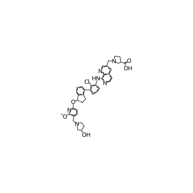 COc1nc(O[C@@H]2CCc3c(-c4cccc(Nc5nccc6cc(CN7CC[C@@H](C(=O)O)C7)cnc56)c4Cl)cccc32)ccc1CN1CC[C@@H](O)C1